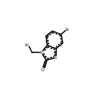 CC(=O)Cn1c(=O)sc2cc(Br)ccc21